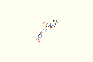 Cc1cccc(C(=O)Nc2cc3cn(CC(=O)N4CCN(C(=O)C5CC5)CC4)nc3cc2OC(C)C)n1